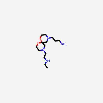 CCNCCN1CCOC2(CN(CCCN)CCO2)C1